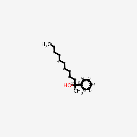 CCCCCCCCCCC(C)(O)c1ccccc1